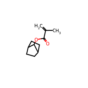 C=C(C)C(=O)OC1C2CCC1CC2